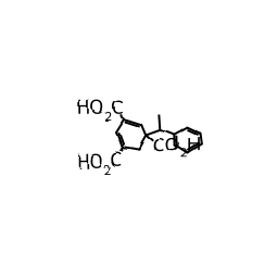 CC(c1ccccc1)C1(C(=O)O)C=C(C(=O)O)C=C(C(=O)O)C1